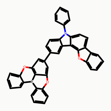 c1ccc(-n2c3ccc(-c4cc5c6c(c4)Oc4ccccc4B6c4ccccc4O5)cc3c3c4oc5ccccc5c4ccc32)cc1